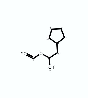 O=COC(O)CC1CCCC1